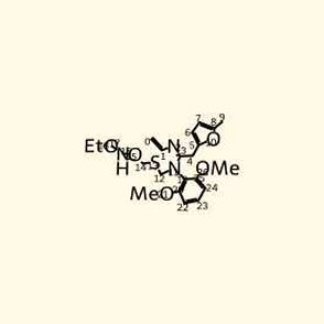 C=C/N=C(/Cc1ccc(C)o1)N(CSCONOCC)c1c(OC)cccc1OC